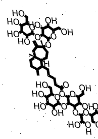 C=C1C[C@@]2(C)CCC(C)C(CCCCC(=O)OC3OC(CO)C(O)C(OC(OC(CO)C(C)O)C(O)O)C3OC3OC(CO)C(O)C(O)C3O)[C@@H]2CC[C@@]1(C)OC1OC(CO)C(O)C(O)C1OC1OC(CO)C(O)C(O)C1O